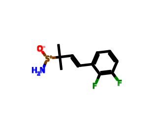 CC(C)(/C=C/c1cccc(F)c1F)[S+](N)[O-]